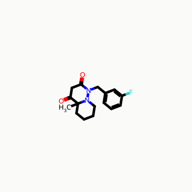 CC12CCCCN1N(Cc1cccc(F)c1)C(=O)CC2=O